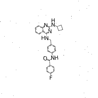 O=C(Nc1ccc(CNc2nc(NC3CCC3)nc3ccccc23)cc1)c1ccc(F)cc1